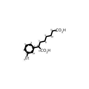 CCc1cccc(C(CCCCCC(=O)O)C(=O)O)c1